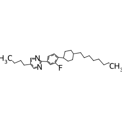 CCCCCCCCC1CCC(c2ccc(-c3ncc(CCCC)cn3)cc2F)CC1